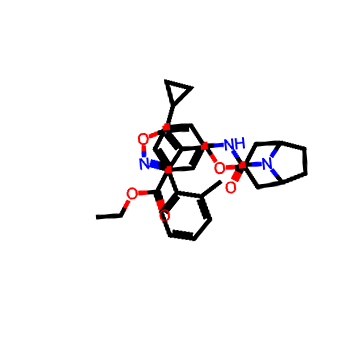 CCOC(=O)c1cccc(NC(=O)N2C3CCC2CC(OCc2c(-c4ccccc4C)noc2C2CC2)C3)c1